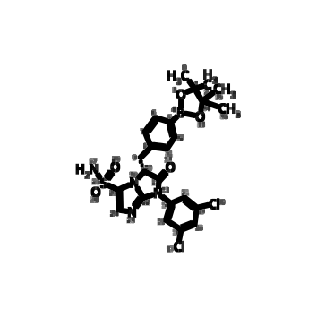 CC1(C)OB(c2ccc(C[C@@H]3C(=O)N(c4cc(Cl)cc(Cl)c4)c4ncc(S(N)(=O)=O)n43)cc2)OC1(C)C